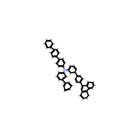 C1=CC(c2ccc(-c3cc4c(c5ccccc35)CCC=C4)cc2)CC(N(c2ccc(-c3ccc(-c4ccccc4)cc3)cc2)c2cccc(-c3ccccc3)c2)=C1